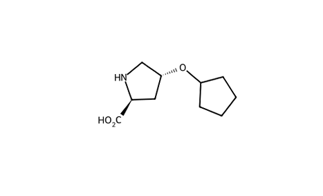 O=C(O)[C@@H]1C[C@@H](OC2CCCC2)CN1